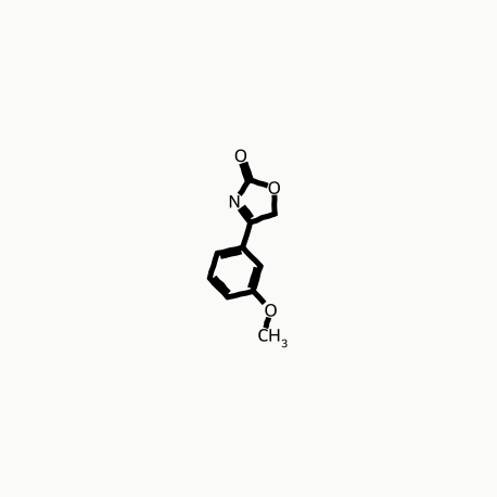 COc1cccc(C2=NC(=O)OC2)c1